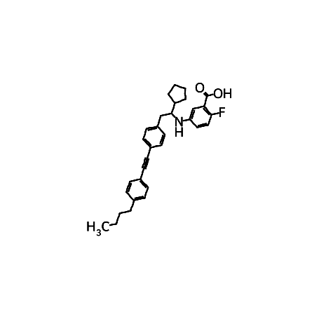 CCCCc1ccc(C#Cc2ccc(CC(Nc3ccc(F)c(C(=O)O)c3)C3CCCC3)cc2)cc1